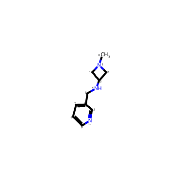 CN1CC(NCc2cccnc2)C1